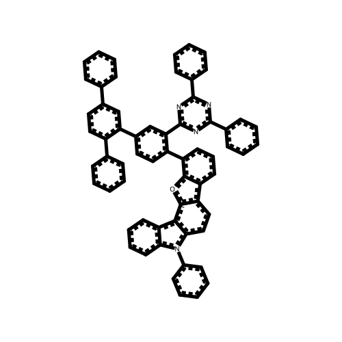 c1ccc(-c2ccc(-c3ccccc3)c(-c3ccc(-c4cccc5c4oc4c5ccc5c4c4ccccc4n5-c4ccccc4)c(-c4nc(-c5ccccc5)nc(-c5ccccc5)n4)c3)c2)cc1